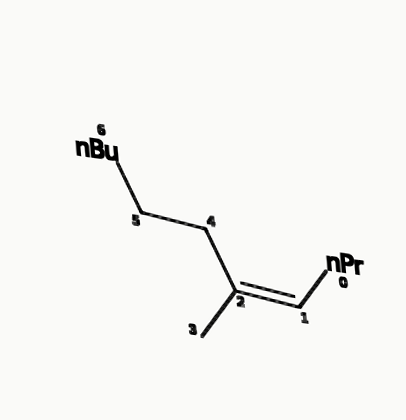 CCCC=C(C)CCCCCC